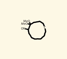 COC1(OC)CCCCCCCCCCC1N=O